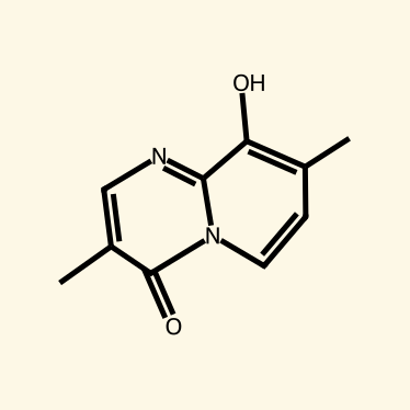 Cc1ccn2c(=O)c(C)cnc2c1O